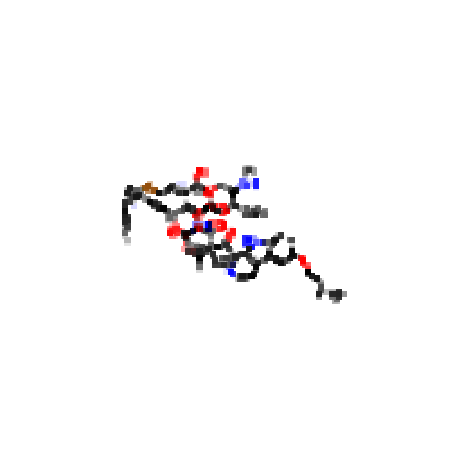 CC#C/C=C\C#C[C@H](OC1OC(C)C(SC)(C(=O)c2nccc3c2[nH]c2ccc(OCCC(=O)O)cc23)C(O)C1OC1CC(OC)C(NC(C)C)CO1)C1=C(NC(=O)OC)C(=O)C[C@H](O)/C1=C/CSC(C)=O